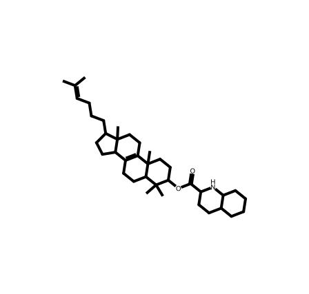 CC(C)=CCCCC1CCC2C3=C(CCC12C)C1(C)CCC(OC(=O)C2CCC4CCCCC4N2)C(C)(C)C1CC3